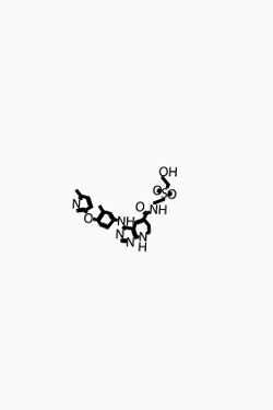 Cc1ccc(Oc2ccc(Nc3ncnc4c3C=C(C(=O)NCCS(=O)(=O)CCO)CCN4)cc2C)cn1